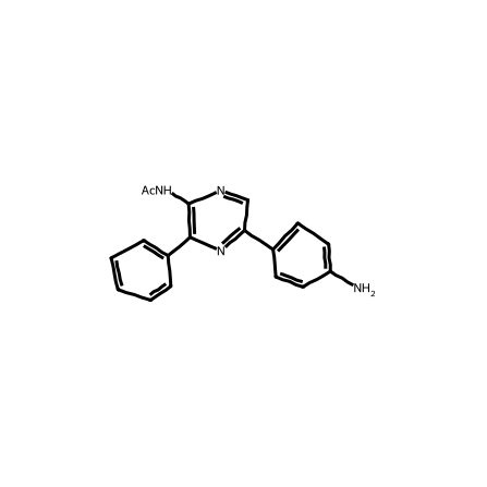 CC(=O)Nc1ncc(-c2ccc(N)cc2)nc1-c1ccccc1